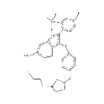 CC(F)(F)c1cc(F)ccc1-c1sc2cc(C(=O)O)ccc2c1Oc1ccc(OC2CCN(CCCF)C2)cc1